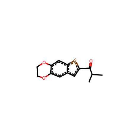 CC(C)C(=O)c1cc2cc3c(cc2s1)OCCO3